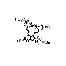 CCCC[C@@H](C)C[C@@H](/C=C/[C@@H]1C(SCCCOC(C)C(=O)O)=C(OC(=O)CCC)C[C@H]1[Si](C)(C)O[SiH2]C(C)(C)C)[Si](C)(C)O[SiH2]C(C)(C)C